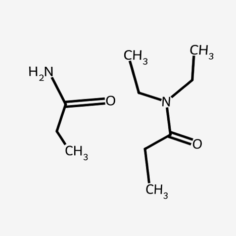 CCC(=O)N(CC)CC.CCC(N)=O